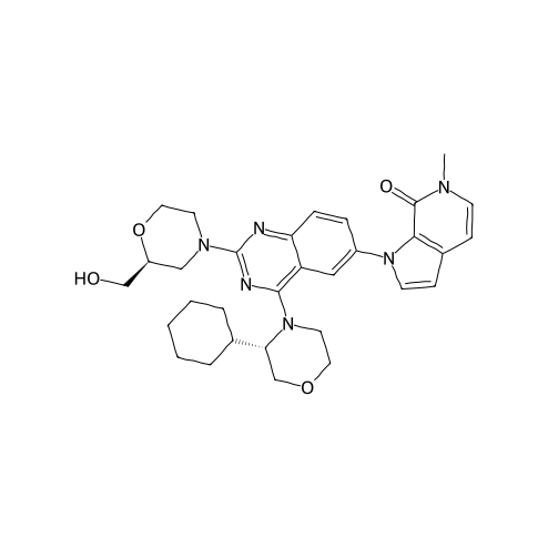 Cn1ccc2ccn(-c3ccc4nc(N5CCO[C@H](CO)C5)nc(N5CCOC[C@@H]5C5CCCCC5)c4c3)c2c1=O